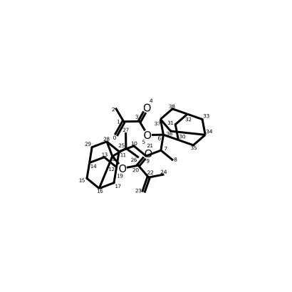 C=C(C)C(=O)OC1(C(C)CCC2C3CC4CC(C3)C(OC(=O)C(=C)C)(C(C)C)C2C4)C2CC3CC(C2)CC1C3